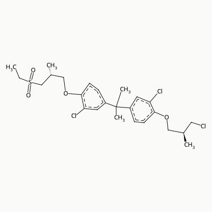 CCS(=O)(=O)C[C@H](C)COc1ccc(C(C)(C)c2ccc(OC[C@H](C)CCl)c(Cl)c2)cc1Cl